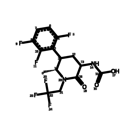 C[C@@H]1C(c2c(F)ccc(F)c2F)CC(NC(=O)O)C(=O)N1CC(F)(F)F